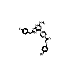 Nc1nc(N2CCN(C(=O)COc3ccc(Br)cc3)CC2)c2nc(Cc3ccc(F)cc3)sc2n1